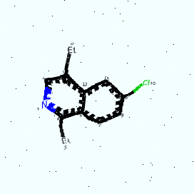 CCc1cnc(CC)c2ccc(Cl)cc12